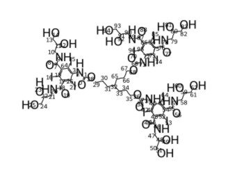 O=C(Nc1c(I)c(C(=O)NCC(O)CO)c(I)c(C(=O)NCC(O)CO)c1I)OCCCC(CCCOC(=O)Nc1c(I)c(C(=O)NCC(O)CO)c(I)c(C(=O)NCC(O)CO)c1I)CCCOC(=O)Nc1c(I)c(C(=O)NCC(O)CO)c(I)c(C(=O)NCC(O)CO)c1I